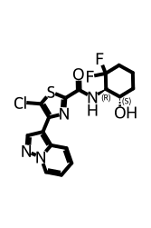 O=C(N[C@@H]1[C@@H](O)CCCC1(F)F)c1nc(-c2cnn3ccccc23)c(Cl)s1